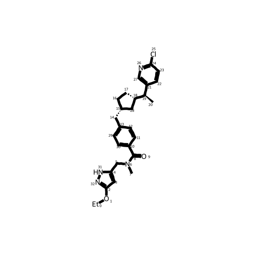 CCOc1cc(CN(C)C(=O)c2ccc(C[C@@H]3CC[C@H]([C@H](C)c4ccc(Cl)nc4)C3)cc2)[nH]n1